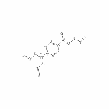 C=CCOC(=O)c1ccc(N(CC=C)CC=C)cc1